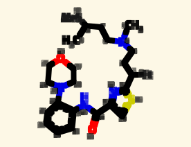 CCC(CCN(C)CCC(C)SC)c1nc(C(=O)Nc2ccccc2N2CCOCC2)cs1